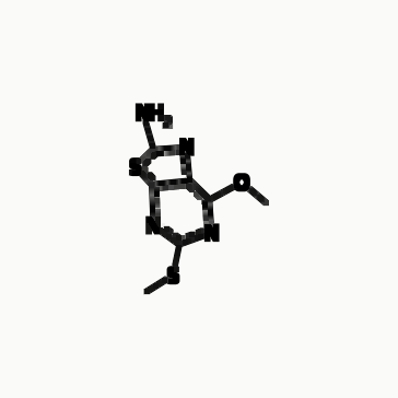 COc1nc(SC)nc2sc(N)nc12